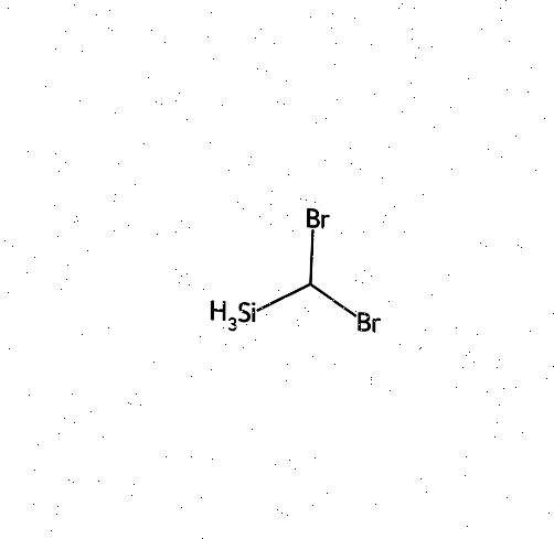 [SiH3]C(Br)Br